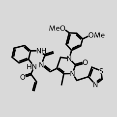 C=CC(=O)Nc1ccccc1NC(=C)/N=C\C1=C(C)N(Cc2cscn2)C(=O)N(c2cc(OC)cc(OC)c2)C1